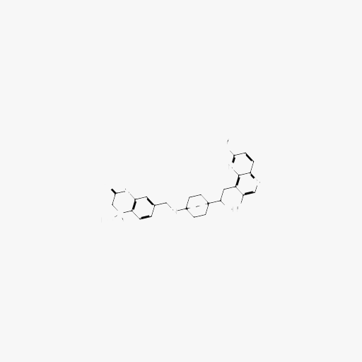 COc1ccc2ncc(F)c(CC(O)C34CCC(NCc5ccc6c(c5)NC(=O)CS6(O)O)(CC3)CO4)c2n1.Cl